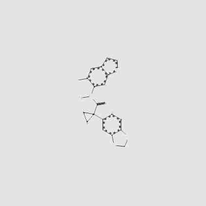 CC(C)(C)c1cc2cc[nH]c2cc1N(N)C(=O)C1(c2ccc3c(c2)OCO3)CC1